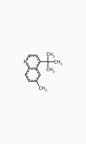 Cc1ccc2nccc(C(C)(C)C)c2c1